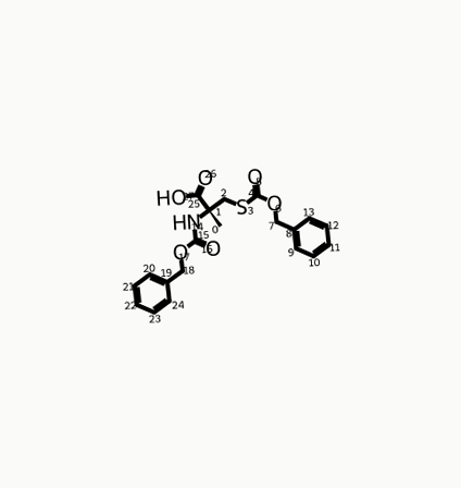 C[C@@](CSC(=O)OCc1ccccc1)(NC(=O)OCc1ccccc1)C(=O)O